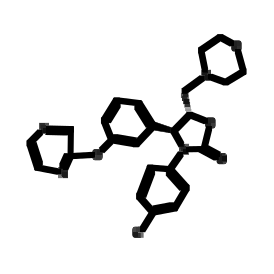 O=C1O[C@@H](CN2CCOCC2)[C@H](c2cccc(Oc3cnccn3)c2)N1c1ccc(Cl)cc1